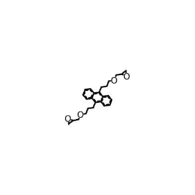 c1ccc2c(CCCOCC3CO3)c3ccccc3c(CCCOCC3CO3)c2c1